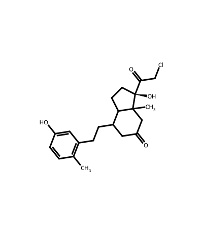 Cc1ccc(O)cc1CCC1CC(=O)CC2(C)C1CC[C@]2(O)C(=O)CCl